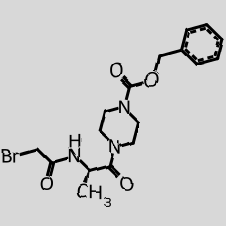 C[C@@H](NC(=O)CBr)C(=O)N1CCN(C(=O)OCc2ccccc2)CC1